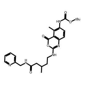 Cc1c(NC(=O)OC(C)(C)C)ccc2nc(NCCC(C)CC(=O)NCc3ccccn3)oc(=O)c12